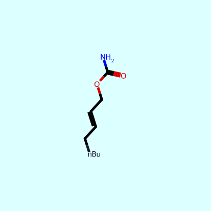 CCCCCC=CCOC(N)=O